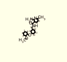 COc1ccccc1Oc1cccc(CNC(=O)c2ccc(C)nc2N)c1